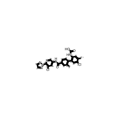 O=C(O)Nc1cc(F)c(Cl)cc1-c1ccc(C(=O)Nc2cnc(-n3nccn3)c(Cl)c2)cc1F